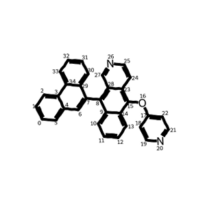 c1ccc2c(c1)cc(-c1c3ccccc3c(Oc3ccncc3)c3ccncc13)c1ccccc12